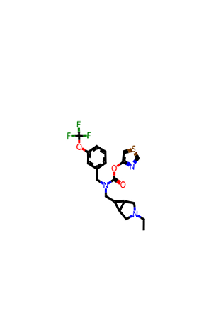 CCN1CC2C(C1)C2CN(Cc1cccc(OC(F)(F)F)c1)C(=O)Oc1cscn1